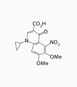 COc1cc2c(c([N+](=O)[O-])c1OC)c(=O)c(C(=O)O)cn2C1CC1